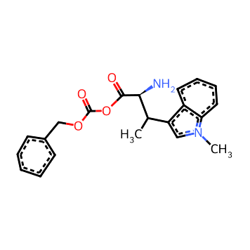 CC(c1cn(C)c2ccccc12)[C@H](N)C(=O)OC(=O)OCc1ccccc1